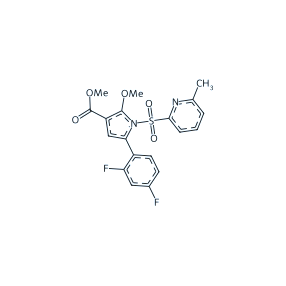 COC(=O)c1cc(-c2ccc(F)cc2F)n(S(=O)(=O)c2cccc(C)n2)c1OC